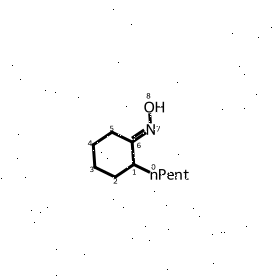 CCCCCC1CCCCC1=NO